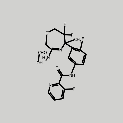 CC1(c2cc(NC(=O)c3ncccc3F)ccc2F)N=C(N)COCC1(F)F.O=CO